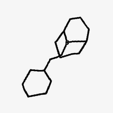 C1CCC(CCB2C3CCCC2CCC3)CC1